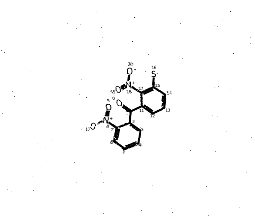 O=C(c1ccccc1[N+](=O)[O-])c1cccc([S])c1[N+](=O)[O-]